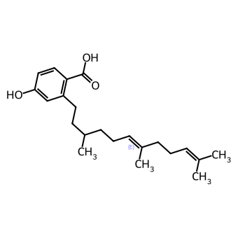 CC(C)=CCC/C(C)=C/CCC(C)CCc1cc(O)ccc1C(=O)O